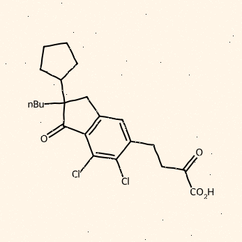 CCCCC1(C2CCCC2)Cc2cc(CCC(=O)C(=O)O)c(Cl)c(Cl)c2C1=O